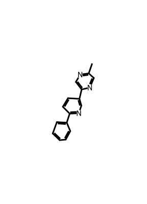 Cc1cnc(-c2ccc(-c3ccccc3)nc2)cn1